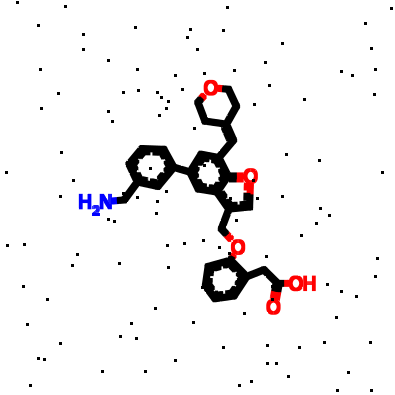 NCc1cccc(-c2cc(C=C3CCOCC3)c3occ(COc4ccccc4CC(=O)O)c3c2)c1